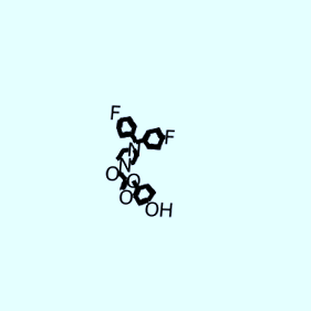 O=C(C1=COc2cc(O)ccc2O1)N1CCN(C(c2ccc(F)cc2)c2ccc(F)cc2)CC1